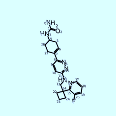 NC(=O)NC1CC=C(c2ccc(NCC3(c4ncccc4F)CCC3)nn2)CC1